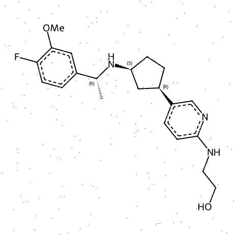 COc1cc([C@@H](C)N[C@H]2CC[C@@H](c3ccc(NCCO)nc3)C2)ccc1F